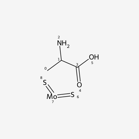 CC(N)C(=O)O.[S]=[Mo]=[S]